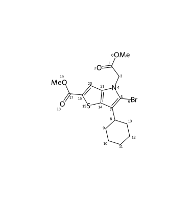 COC(=O)Cn1c(Br)c(C2CCCCC2)c2sc(C(=O)OC)cc21